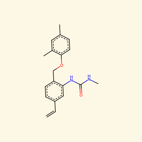 C=Cc1ccc(COc2ccc(C)cc2C)c(NC(=O)NC)c1